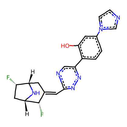 Oc1cc(-n2ccnc2)ccc1-c1cnc(/C=C2\C[C@@H]3N[C@@H](C[C@@H]3F)[C@H]2F)nn1